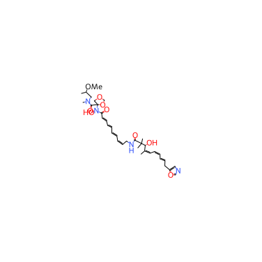 COC(C)CN(C)C(=O)C1(N(O)C(=O)/C=C/C=C/C=C/C=C\CNC(=O)C(C)(C)C(O)\C(C)=C/C=C\C=C\Cc2cnco2)COCO1